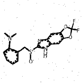 CN(C)c1ccccc1C[S+]([O-])c1nc2cc3c(cc2[nH]1)OC(F)(F)O3